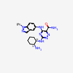 CC(C)n1ncc2cc(Nc3nc(N[C@@H]4CCCC[C@@H]4N)nnc3C(N)=O)ccc21